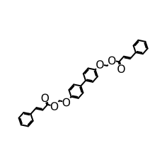 O=C(C=Cc1ccccc1)OCOc1ccc(-c2ccc(OCOC(=O)C=Cc3ccccc3)cc2)cc1